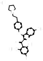 Cc1cc(F)cc(C)c1C(=O)c1sc2cc(O)ccc2c1Oc1ccc(CCN2CC[C@@H](C)C2)cc1